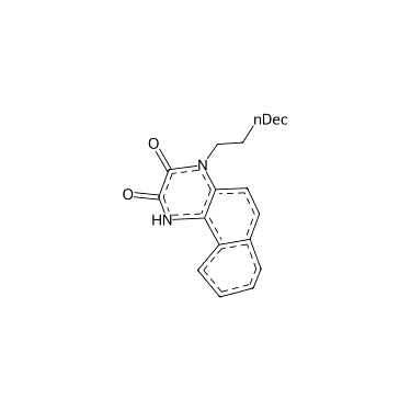 CCCCCCCCCCCCn1c(=O)c(=O)[nH]c2c3ccccc3ccc21